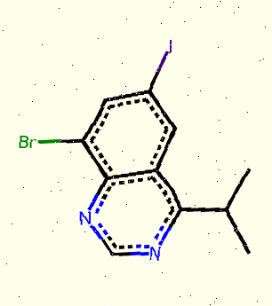 CC(C)c1ncnc2c(Br)cc(I)cc12